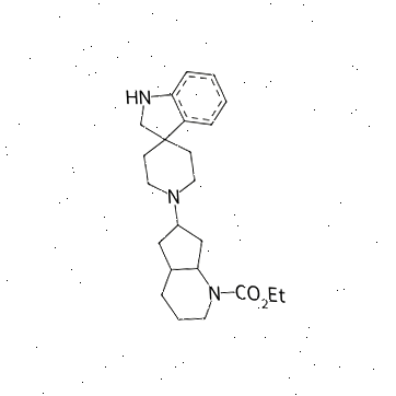 CCOC(=O)N1CCCC2CC(N3CCC4(CC3)CNc3ccccc34)CC21